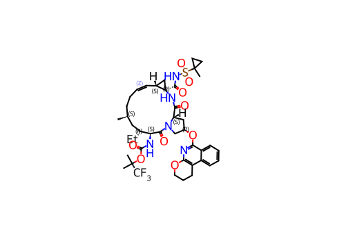 CC[C@@H]1C[C@@H](C)CC/C=C\[C@@H]2C[C@@]2(C(=O)NS(=O)(=O)C2(C)CC2)NC(=O)[C@@H]2C[C@@H](Oc3nc4c(c5ccccc35)CCCO4)CN2C(=O)[C@H]1NC(=O)OC(C)(C)C(F)(F)F